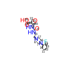 O=C(NCCN1CCN(c2ccccc2F)CC1)Nc1cocc1C(=O)O